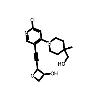 CC1(CO)CCN(c2cc(Cl)ncc2C#CC2OCC2O)CC1